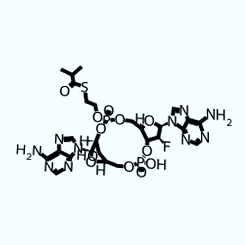 CC(C)C(=O)SCCOP1(=O)OC[C@H]2O[C@@H](n3cnc4c(N)ncnc43)[C@@H](F)C2OP(=O)(O)OC[C@H]2O[C@@H](n3cnc4c(N)ncnc43)[C@@H](O1)C2O